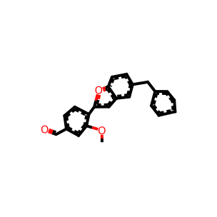 COc1cc(C=O)ccc1-c1cc2cc(Cc3ccccc3)ccc2o1